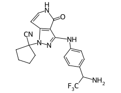 N#CC1(n2nc(Nc3ccc(C(N)C(F)(F)F)cc3)c3c(=O)[nH]ccc32)CCCC1